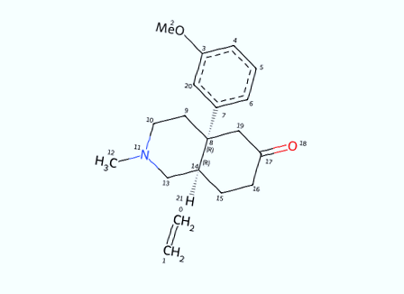 C=C.COc1cccc([C@@]23CCN(C)C[C@@H]2CCC(=O)C3)c1